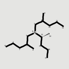 CCCC(C)CN(CC(C)CCC)[C@H](C)CCC